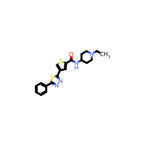 CCN1CCC(NC(=O)c2cc(-c3nnc(-c4ccccc4)s3)cs2)CC1